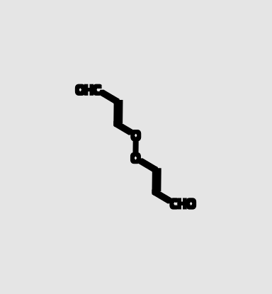 O=CC=COOC=CC=O